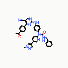 CC(=O)c1ccc(-c2nc(Nc3ccc(N(C(=O)NCc4ccccc4)c4ccc(-c5cnn(C)c5)cn4)cc3)ncc2C#N)cc1